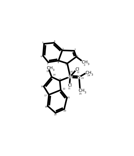 CC1=Cc2ccccc2[CH]1[Zr]([Cl])([Cl])([CH]1C(C)=Cc2ccccc21)=[S](C)C